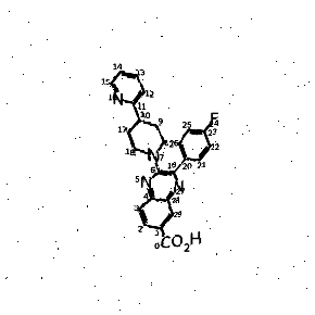 O=C(O)c1ccc2nc(N3CCC(c4ccccn4)CC3)c(-c3ccc(F)cc3)nc2c1